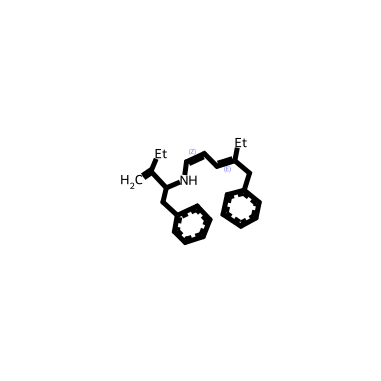 C=C(CC)C(Cc1ccccc1)N/C=C\C=C(/CC)Cc1ccccc1